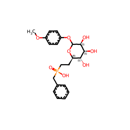 COc1ccc(OC2O[C@H](CCP(=O)(O)Cc3ccccc3)[C@@H](O)[C@H](O)[C@@H]2O)cc1